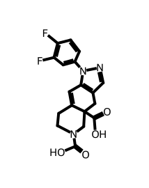 O=C(O)N1CCC2=Cc3c(cnn3-c3ccc(F)c(F)c3)CC2(C(=O)O)C1